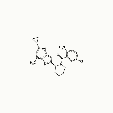 Cc1cc(C2CC2)nc2cc([C@@H]3CCCCN3C(=O)c3cc(Cl)ccc3N)nn12